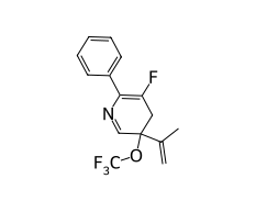 C=C(C)C1(OC(F)(F)F)C=NC(c2ccccc2)=C(F)C1